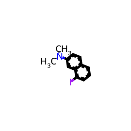 CN(C)c1ccc2cccc(I)c2c1